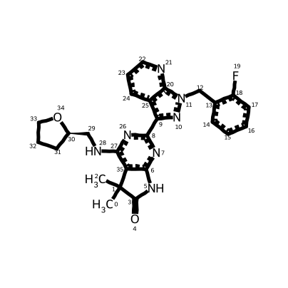 CC1(C)C(=O)Nc2nc(-c3nn(Cc4ccccc4F)c4ncccc34)nc(NC[C@H]3CCCO3)c21